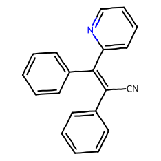 N#CC(=C(c1ccccc1)c1ccccn1)c1ccccc1